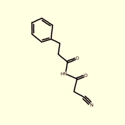 N#CCC(=O)NC(=O)CCc1ccccc1